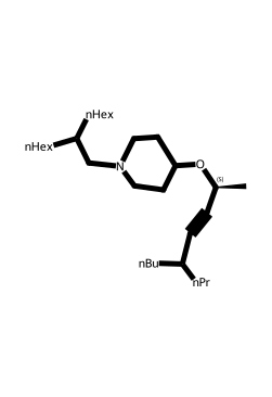 CCCCCCC(CCCCCC)CN1CCC(O[C@@H](C)C#CC(CCC)CCCC)CC1